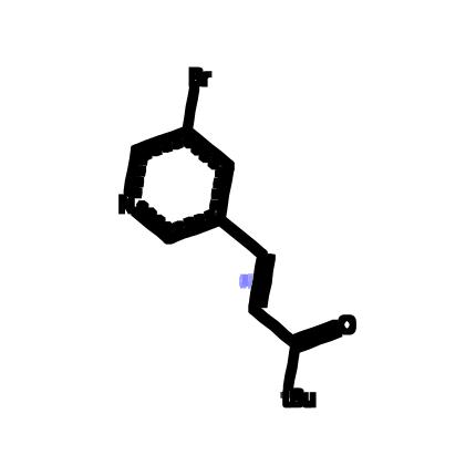 CC(C)(C)C(=O)/C=C/c1cncc(Br)c1